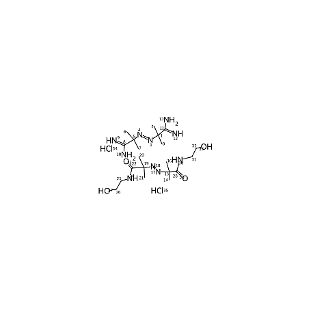 CC(C)(N=NC(C)(C)C(=N)N)C(=N)N.CC(C)(N=NC(C)(C)C(=O)NCCO)C(=O)NCCO.Cl.Cl